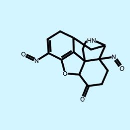 O=NC1=CCC2CC3NCCC45C2=C1OC4C(=O)CCC35N=O